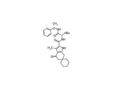 CCCCC(NC(=O)c1[nH]c2c(c1C)C(=O)CC1(CCCCC1)C2)C(=O)N[C@@H](C)c1ccccc1